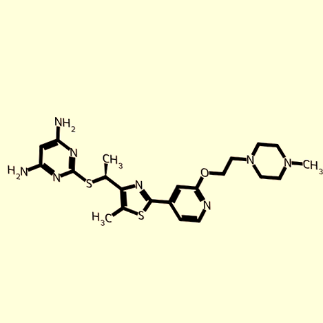 Cc1sc(-c2ccnc(OCCN3CCN(C)CC3)c2)nc1[C@H](C)Sc1nc(N)cc(N)n1